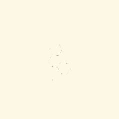 Cc1ccc2c(ccc3c(C(C)C)cccc32)c1